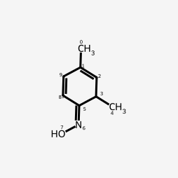 CC1=CC(C)C(=NO)[C]=C1